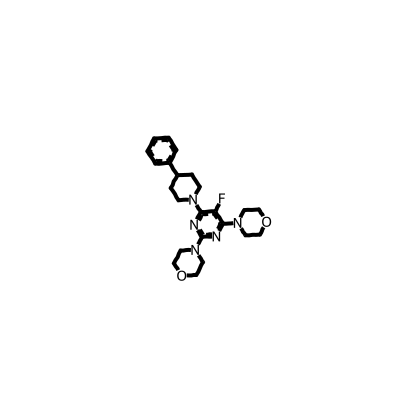 Fc1c(N2CCOCC2)nc(N2CCOCC2)nc1N1CCC(c2ccccc2)CC1